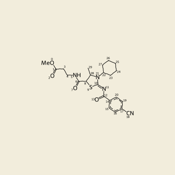 COC(=O)CCNC(=O)C1SC(=NC(=O)c2ccc(C#N)cc2)N(C2CCCCC2)C1C